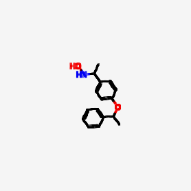 CC(NO)c1ccc(OC(C)c2ccccc2)cc1